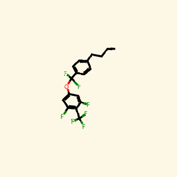 CCCCc1ccc(C(F)(F)Oc2cc(F)c(C(F)(F)F)c(F)c2)cc1